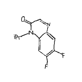 CC(C)n1c(=O)cnc2cc(F)c(F)cc21